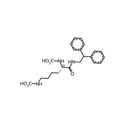 O=C(O)NCCCC[C@H](NC(=O)O)C(=O)NCC(c1ccccc1)c1ccccc1